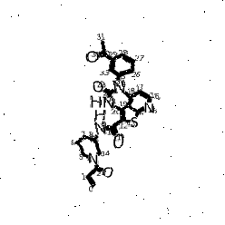 C=CC(=O)N1CCC[C@@H](NC(=O)c2sc3nccc4c3c2NC(=O)N4c2cccc(C(C)=O)c2)C1